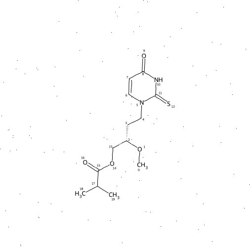 CO[C@@H](CCn1ccc(=O)[nH]c1=S)COC(=O)C(C)C